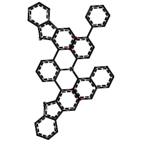 c1ccc(-c2ccc(N(c3c(-c4cccc5c4sc4ccccc45)cccc3-c3cccc4c3sc3ccccc34)c3cccc4ccccc34)cc2)cc1